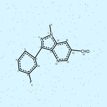 Cn1nc(-c2cccc(F)c2)c2ncc(C=O)cc21